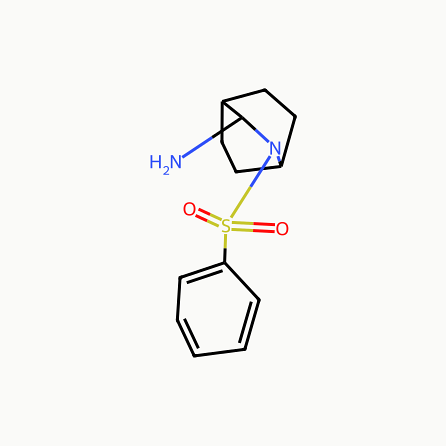 NC1C2CCC(CC2)N1S(=O)(=O)c1ccccc1